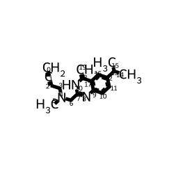 C=C=CCN(C)CC1=Nc2ccc(C(C)C)cc2C(=C)N1